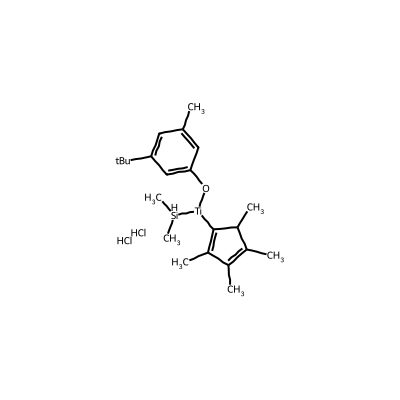 CC1=C(C)C(C)[C]([Ti]([O]c2cc(C)cc(C(C)(C)C)c2)[SiH](C)C)=C1C.Cl.Cl